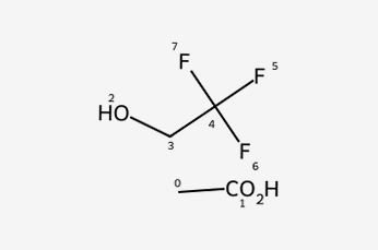 CC(=O)O.OCC(F)(F)F